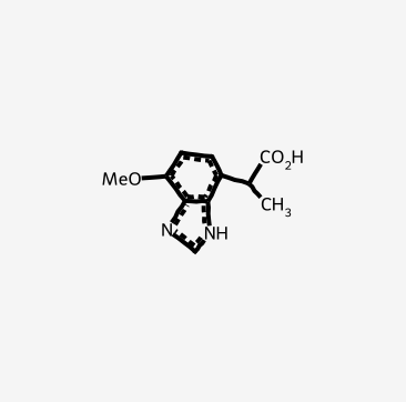 COc1ccc(C(C)C(=O)O)c2[nH]cnc12